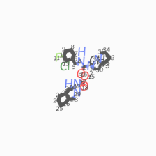 CN(C(=O)NCc1cccc(F)c1Cl)[C@@H](COC(=O)Nc1cc2ccccc2cn1)Cc1ccccn1